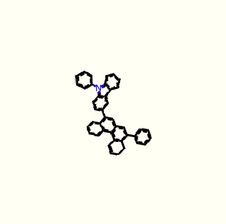 C1=Cc2c(c(-c3ccccc3)cc3cc(-c4ccc5c(c4)c4ccccc4n5-c4ccccc4)c4ccccc4c23)CC1